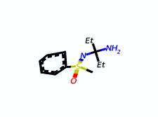 CCC(N)(CC)N=S(C)(=O)c1ccccc1